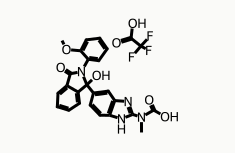 COc1ccccc1N1C(=O)c2ccccc2C1(O)c1ccc2[nH]c(N(C)C(=O)O)nc2c1.O=C(O)C(F)(F)F